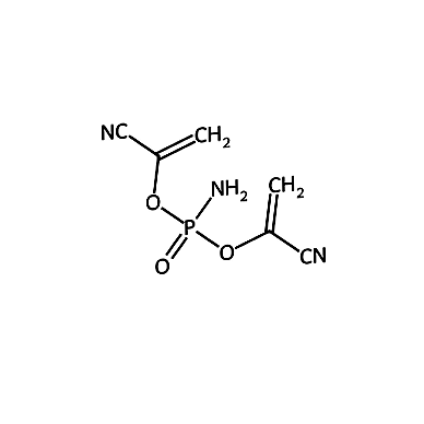 C=C(C#N)OP(N)(=O)OC(=C)C#N